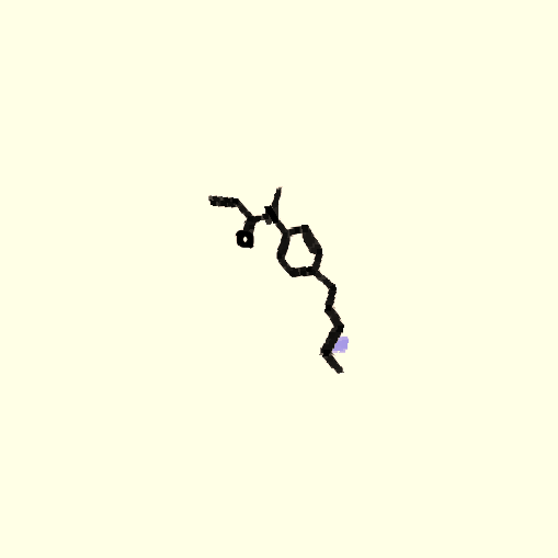 C=CC(=O)N(C)c1ccc(CC/C=C/C)cc1